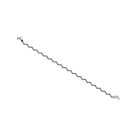 C#CCCCCCCCCCCCCCCCCCCCCCCCCCCCCCCCCCCCCCC